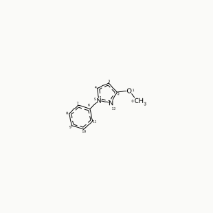 COc1ccn(-c2ccccc2)n1